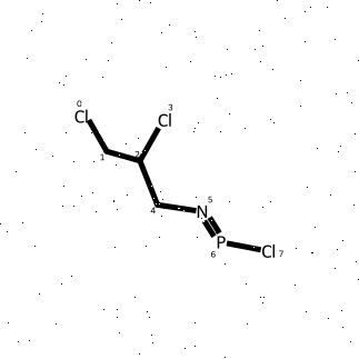 ClCC(Cl)CN=PCl